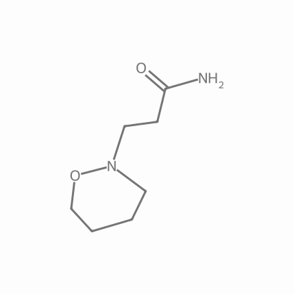 NC(=O)CCN1CCCCO1